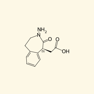 NN1CCc2ccccc2[C@H](CC(=O)O)C1=O